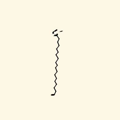 Cn1ccnc1CCCCCCCCCCCCCCCCCC(=O)O